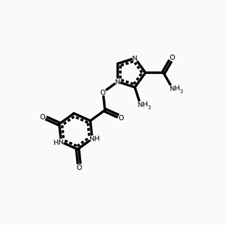 NC(=O)c1ncn(OC(=O)c2cc(=O)[nH]c(=O)[nH]2)c1N